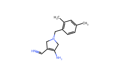 Cc1ccc(CN2CC(N)=C(C=N)C2)c(C)c1